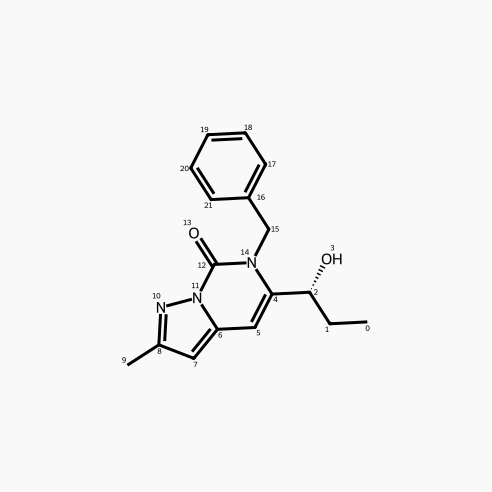 CC[C@@H](O)c1cc2cc(C)nn2c(=O)n1Cc1ccccc1